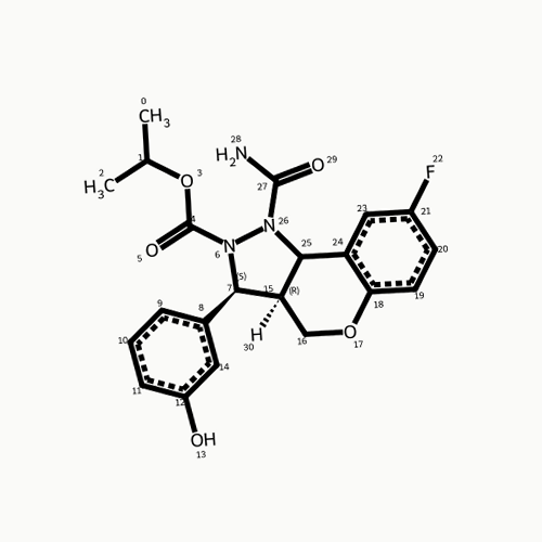 CC(C)OC(=O)N1[C@H](c2cccc(O)c2)[C@@H]2COc3ccc(F)cc3C2N1C(N)=O